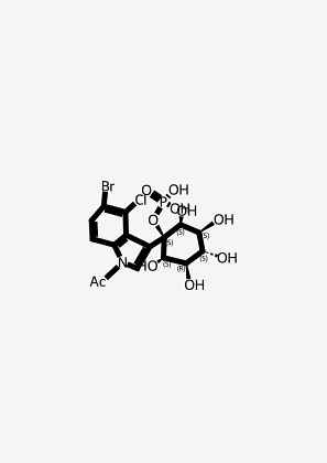 CC(=O)n1cc([C@@]2(OP(=O)(O)O)[C@@H](O)[C@H](O)[C@@H](O)[C@H](O)[C@@H]2O)c2c(Cl)c(Br)ccc21